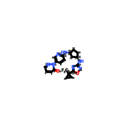 O=c1cccnn1-c1ccc(N[C@H]2CC[C@H](Nc3noc(C4(C(F)(F)F)CC4)n3)C2)nc1